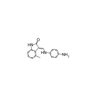 Cc1cccc2c1/C(=C\Nc1ccc(N)cc1)C(=O)N2